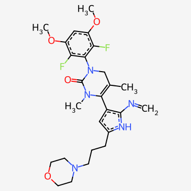 C=Nc1[nH]c(CCCN2CCOCC2)cc1C1=C(C)CN(c2c(F)c(OC)cc(OC)c2F)C(=O)N1C